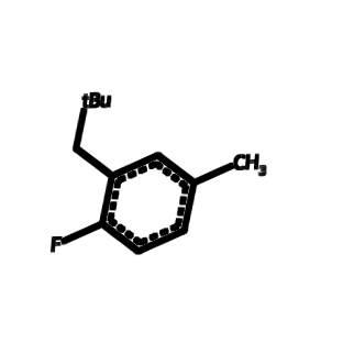 Cc1ccc(F)c(CC(C)(C)C)c1